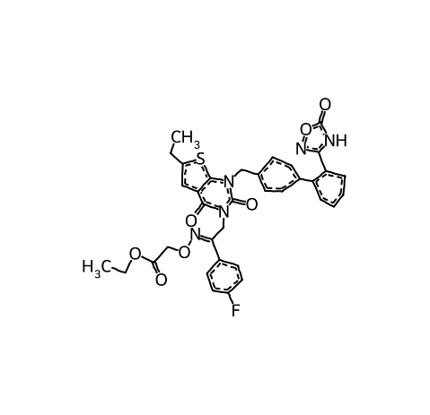 CCOC(=O)CON=C(Cn1c(=O)c2cc(CC)sc2n(Cc2ccc(-c3ccccc3-c3noc(=O)[nH]3)cc2)c1=O)c1ccc(F)cc1